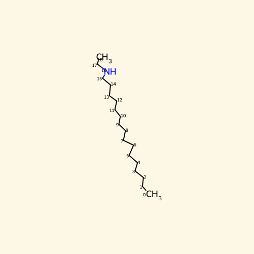 CCCCCCCCCCCCCCCCNCC